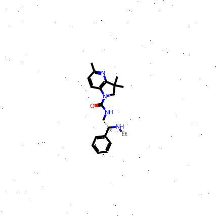 CCN[C@@H](CNC(=O)N1CC(C)(C)c2nc(C)ccc21)c1ccccc1